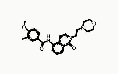 COc1ccc(C(=O)Nc2cccc3c(=O)n(CCN4CCOCC4)ccc23)cc1C